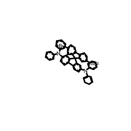 CC(C)(C)c1ccc2c(c1)C1(c3cc(N(C4=CCCC=C4)c4ccccc4)ccc3-c3ccc(N(c4ccccc4)c4ccccc4)cc31)c1cc(C(C)(C)C)ccc1-2